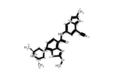 COc1nc2c(C(=O)Nc3cc(C#N)c4nc(C)cn4c3)ccc(N3C[C@H](C)N[C@@H](C)C3)c2s1